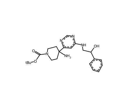 CC(C)(C)OC(=O)N1CCC(N)(c2cc(NCC(O)c3ccccc3)ncn2)CC1